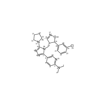 CN(C)c1ccc(-c2nnc(N3CCC[C@@H]3C3=NOC(c4cccc(Cl)c4)C3)n2C)cn1